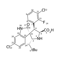 CC(C)(C)C[C@H]1N[C@H](C(=O)O)[C@H](c2cccc(Cl)c2F)[C@@]12C(=O)Nc1cc(Cl)ccc12